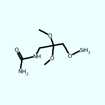 COC(CNC(N)=O)(CO[SiH3])OC